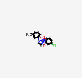 [O-][N+]1(c2cc(Cl)ccc2O)CCN(c2cccc(C(F)(F)F)c2)N1